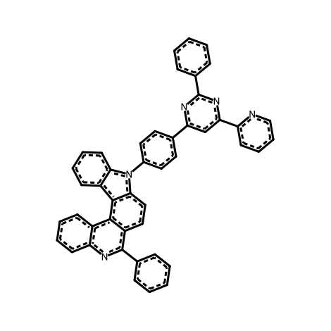 c1ccc(-c2nc(-c3ccc(-n4c5ccccc5c5c6c(ccc54)c(-c4ccccc4)nc4ccccc46)cc3)cc(-c3ccccn3)n2)cc1